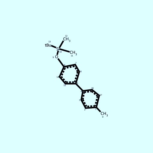 Cc1ccc(-c2ccc(O[Si](C)(C)C(C)(C)C)cc2)cc1